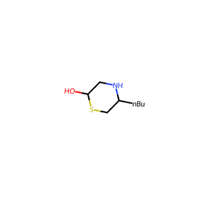 CCCCC1CSC(O)CN1